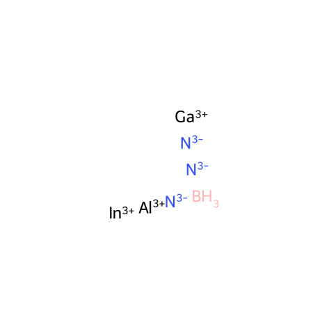 B.[Al+3].[Ga+3].[In+3].[N-3].[N-3].[N-3]